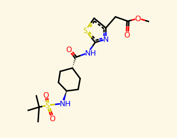 COC(=O)Cc1csc(NC(=O)[C@H]2CC[C@H](NS(=O)(=O)C(C)(C)C)CC2)n1